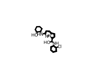 OC(Nc1ccccc1Cl)c1ccc2ccc(N[C@@H]3CCCC[C@@H]3O)nn12